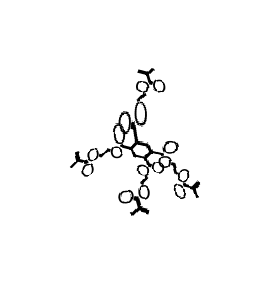 C=C(C)C(=O)OCCOC(=O)C1CC(C(=O)OCCOC(=O)C(=C)C)C(C(=O)OCCOC(=O)C(=C)C)CC1C(=O)OCCOC(=O)C(=C)C